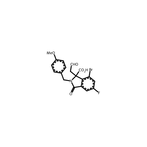 COc1ccc(CN2C(=O)c3cc(F)cc(Br)c3C2(CC=O)C(=O)O)cc1